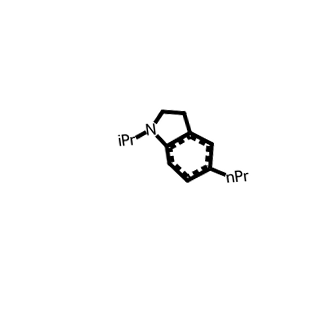 CCCc1ccc2c(c1)CCN2C(C)C